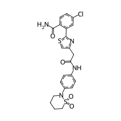 NC(=O)c1ccc(Cl)cc1-c1nc(CC(=O)Nc2ccc(N3CCCCS3(=O)=O)cc2)cs1